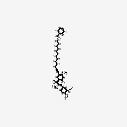 COc1cc2oc(-c3ccc(OC)c(OC)c3)c(O)c(=O)c2cc1C#CCCCCCCCCCCCOCc1ccccc1